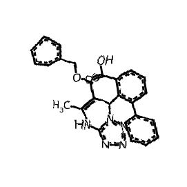 CC1=C(C(=O)OCc2ccccc2)C(c2c(C(=O)O)cccc2-c2ccccc2)n2nnnc2N1